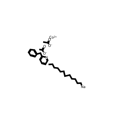 CC(=O)[O-].CC(=O)[O-].CCCCCCCCCCC[CH2][Na].[Co+2].c1ccc(Cc2ccccn2)cc1